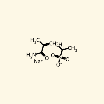 C=C(C)C(N)=O.CC(C)S(=O)(=O)[O-].[Na+]